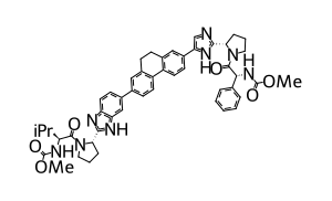 COC(=O)N[C@H](C(=O)N1CCC[C@H]1c1nc2ccc(-c3ccc4c(c3)CCc3cc(-c5cnc([C@@H]6CCCN6C(=O)[C@H](NC(=O)OC)c6ccccc6)[nH]5)ccc3-4)cc2[nH]1)C(C)C